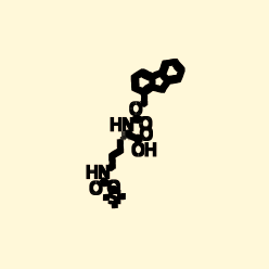 C[Si](C)(C)OC(=O)NCCCC[C@H](NC(=O)OCc1cccc2c1Cc1ccccc1-2)C(=O)O